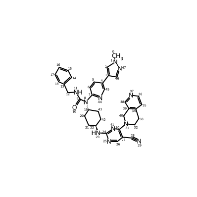 Cn1cc(-c2ccc(N(C(=O)NCc3ccccc3)[C@H]3CC[C@H](Nc4ncc(C#N)c(N5CCc6ccncc6C5)n4)CC3)nc2)cn1